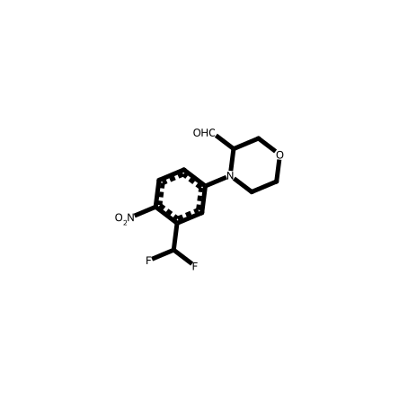 O=CC1COCCN1c1ccc([N+](=O)[O-])c(C(F)F)c1